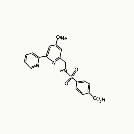 COc1cc(CNS(=O)(=O)c2ccc(C(=O)O)cc2)nc(-c2ccccn2)c1